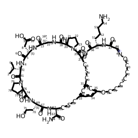 CC(C)[C@@H]1NC(=O)[C@H](CC(=O)O)NC(=O)[C@H](C)NC(=O)[C@@H]2CCCN2C(=O)[C@@H]2CSCc3cc(cc(c3)OCCCCCCO/N=C/C(=O)N[C@@H](CCCCN)C(=O)N2)CSC[C@@H](C(N)=O)NC(=O)[C@H](CCO)NC(=O)[C@@H]2CCCN2C1=O